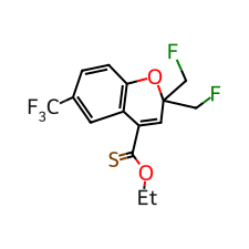 CCOC(=S)C1=CC(CF)(CF)Oc2ccc(C(F)(F)F)cc21